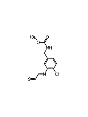 CC(C)(C)OC(=O)NCc1ccc(Cl)c(N=CC=S)c1